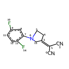 N#CC(C#N)=C1CCN(c2cc(F)ccc2F)C1